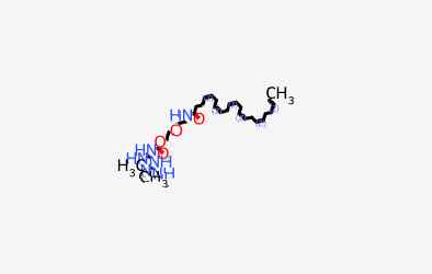 CC/C=C\C/C=C\C/C=C\C/C=C\C/C=C\C/C=C\CCC(=O)NCCOCCOC(=O)NC(=N)NC(=N)N(C)C